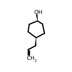 C=CC[C@H]1CC[C@@H](O)CC1